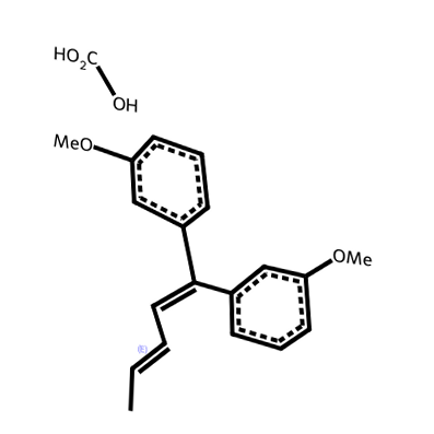 C/C=C/C=C(c1cccc(OC)c1)c1cccc(OC)c1.O=C(O)O